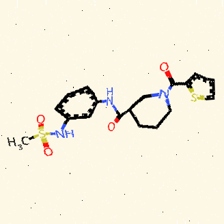 CS(=O)(=O)Nc1cccc(NC(=O)C2CCCN(C(=O)c3cccs3)C2)c1